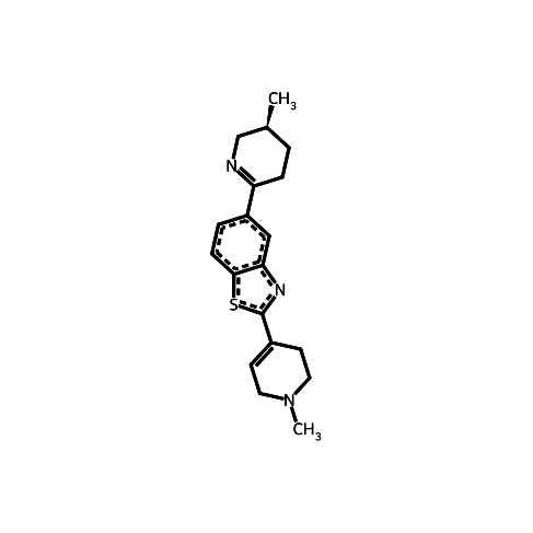 C[C@H]1CCC(c2ccc3sc(C4=CCN(C)CC4)nc3c2)=NC1